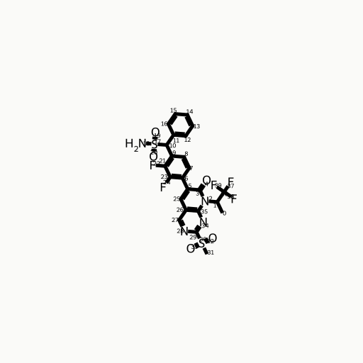 CC(n1c(=O)c(-c2ccc(C(c3ccccc3)S(N)(=O)=O)c(F)c2F)cc2cnc(S(C)(=O)=O)nc21)C(F)(F)F